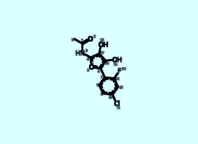 CC(=O)Nc1oc(-c2ccc(Cl)cc2F)c(O)c1O